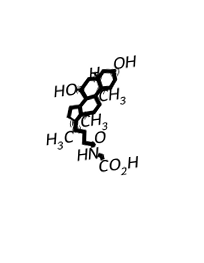 C[C@H](CCC(=O)NCC(=O)O)[C@H]1CCC2C3C(CC[C@@]21C)[C@@]1(C)CC[C@@H](O)C[C@H]1C[C@@H]3O